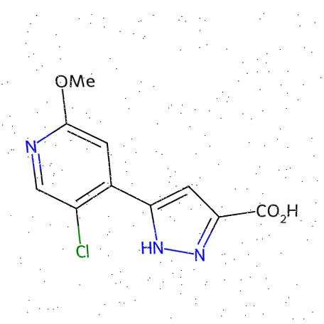 COc1cc(-c2cc(C(=O)O)n[nH]2)c(Cl)cn1